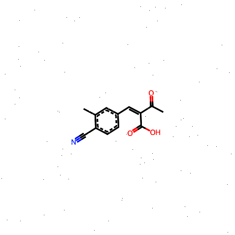 CC(=O)C(=Cc1ccc(C#N)c(C)c1)C(=O)O